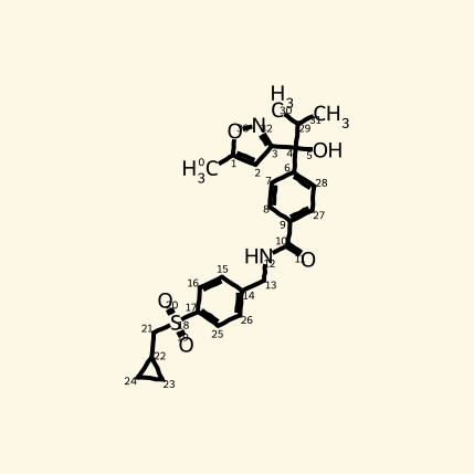 Cc1cc(C(O)(c2ccc(C(=O)NCc3ccc(S(=O)(=O)CC4CC4)cc3)cc2)C(C)C)no1